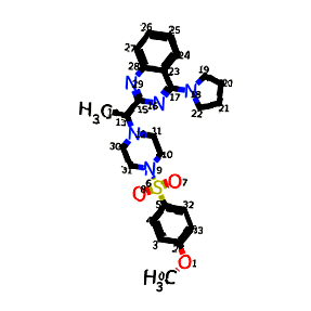 COc1ccc(S(=O)(=O)N2CCN(C(C)c3nc(N4CCCC4)c4ccccc4n3)CC2)cc1